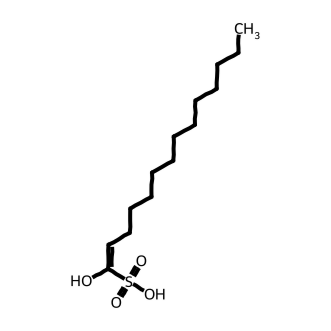 CCCCCCCCCCCCC=C(O)S(=O)(=O)O